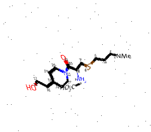 CC(=O)O.CNCCCSC[C@H](N)C(=O)N1CCC(CCO)CC1